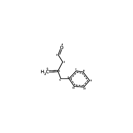 C=C(CC=O)Cc1ccccc1